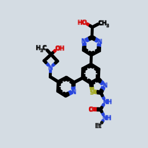 CCNC(=O)Nc1nc2cc(-c3cnc(C(C)O)nc3)cc(-c3cc(CN4CC(C)(O)C4)ccn3)c2s1